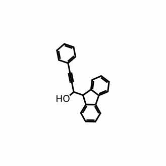 OC(C#Cc1ccccc1)C1c2ccccc2-c2ccccc21